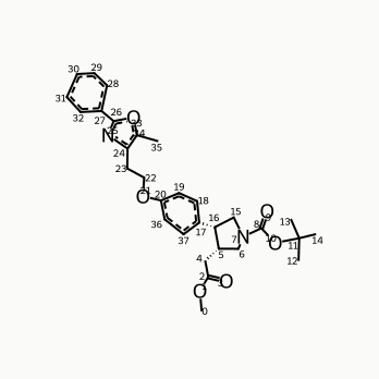 COC(=O)C[C@H]1CN(C(=O)OC(C)(C)C)C[C@H]1c1ccc(OCCc2nc(-c3ccccc3)oc2C)cc1